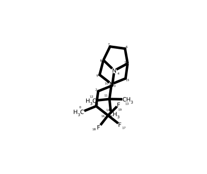 CC(CCN1C2CCC1CN(C(C)(C)C)C2)C(F)(F)F